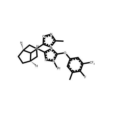 Cc1noc(N2C[C@H]3CC[C@@H](C2)C3Nc2nc(Oc3cc(C)c(F)c(C(F)(F)F)c3)n(C(C)C)n2)n1